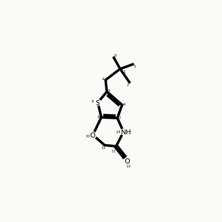 CC(C)(C)Cc1cc2c(s1)OCC(=O)N2